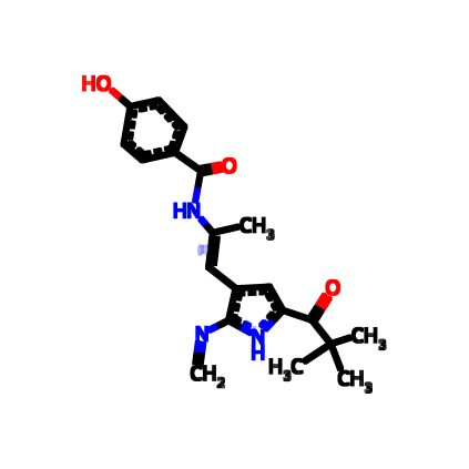 C=Nc1[nH]c(C(=O)C(C)(C)C)cc1/C=C(\C)NC(=O)c1ccc(O)cc1